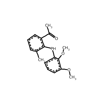 COc1cccc(Pc2c(C)cccc2C(C)=O)c1OC